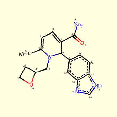 COC1=CC=C(C(N)=O)C(c2ccc3[nH]cnc3c2)N1C[C@@H]1CCO1